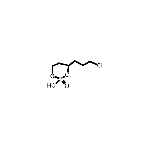 O=P1(O)OCCC(CCCCl)O1